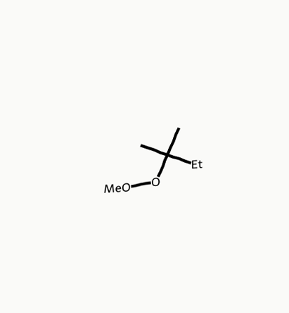 CCC(C)(C)OOC